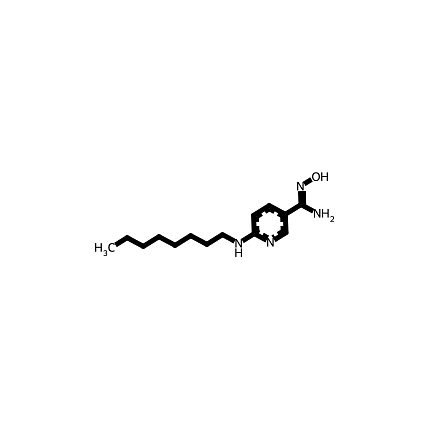 CCCCCCCCNc1ccc(/C(N)=N/O)cn1